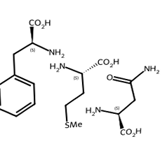 CSCC[C@H](N)C(=O)O.NC(=O)C[C@H](N)C(=O)O.N[C@@H](Cc1ccccc1)C(=O)O